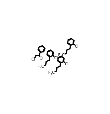 FC(F)(F)CCCc1ccccc1Cl.FC(F)(F)CCCc1ccccc1Cl.FC(F)(F)CCCc1ccccc1Cl.O=C(CCl)c1ccccc1